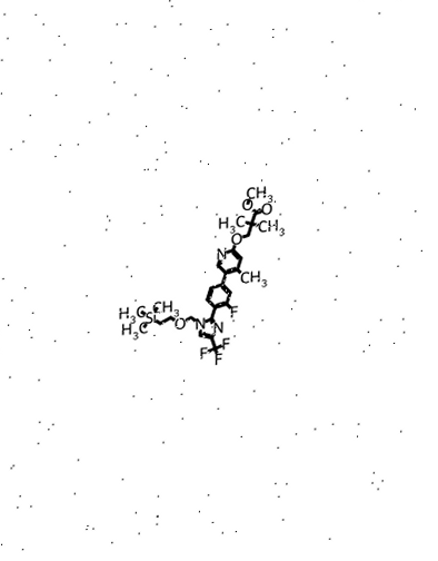 COC(=O)C(C)(C)COc1cc(C)c(-c2ccc(-c3nc(C(F)(F)F)cn3COCC[Si](C)(C)C)c(F)c2)cn1